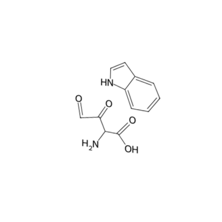 NC(C(=O)O)C(=O)C=O.c1ccc2[nH]ccc2c1